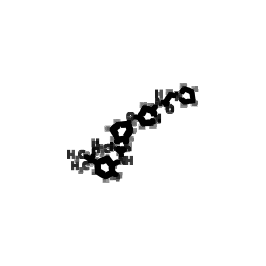 Cn1c(Nc2cc(C(C)(C)C)ccc2F)nc2cc(Oc3ccnc(NC(=O)CN4CCCC4)c3)ccc21